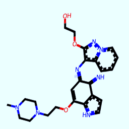 CN1CCN(CCOC2=C/C(=N/c3c(OCCO)nn4ccccc34)C(=N)c3cc[nH]c32)CC1